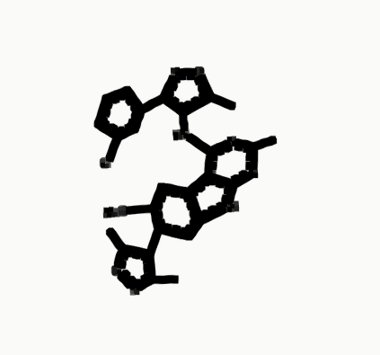 COc1cc2c(cc1-c1c(C)noc1C)[nH]c1nc(C)nc(Nc3c(-c4cccc(Cl)c4)noc3C)c12